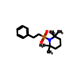 CC1(C)CCCC(C)(C)N1S(=O)(=O)CCc1ccccc1